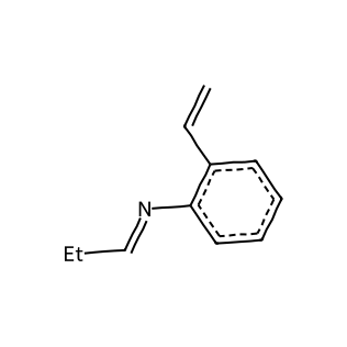 C=Cc1ccccc1/N=C/CC